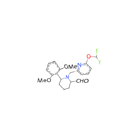 COc1cccc(OC)c1C1CCCC(C=O)N1Cc1cccc(OC(F)F)n1